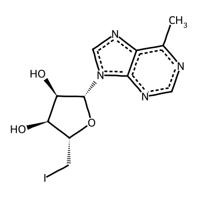 Cc1ncnc2c1ncn2[C@@H]1O[C@H](CI)[C@@H](O)[C@H]1O